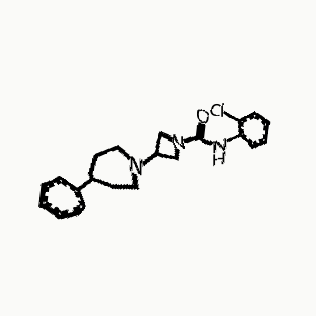 O=C(Nc1ccccc1Cl)N1CC(N2CCC(c3ccccc3)CC2)C1